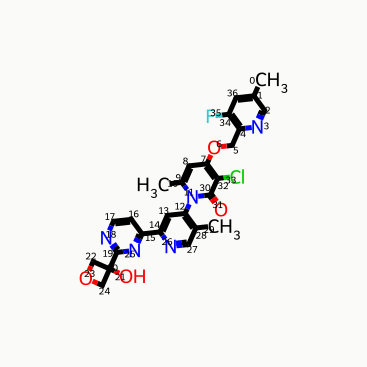 Cc1cnc(COc2cc(C)n(-c3cc(-c4ccnc(C5(O)COC5)n4)ncc3C)c(=O)c2Cl)c(F)c1